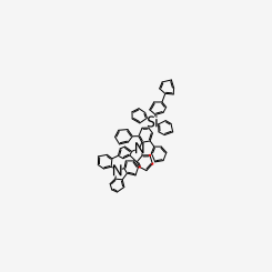 c1ccc(-c2ccc([Si](c3ccccc3)(c3ccccc3)c3cc(-c4ccccc4)c(-n4c5ccccc5c5cc(-c6ccccc6-n6c7ccccc7c7ccccc76)ccc54)c(-c4ccccc4)c3)cc2)cc1